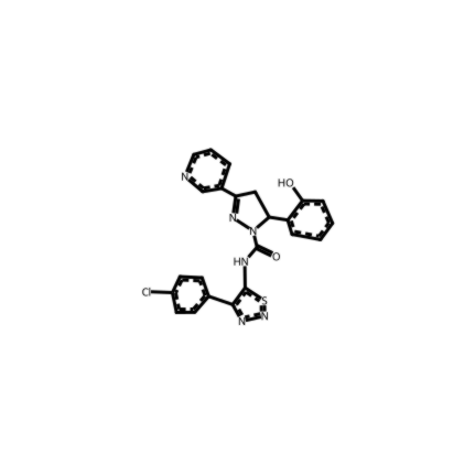 O=C(Nc1snnc1-c1ccc(Cl)cc1)N1N=C(c2cccnc2)CC1c1ccccc1O